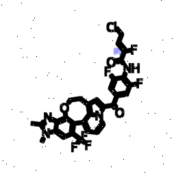 Cc1nc2c3c(c(C(F)(F)F)cc2n1C)-c1cccn2c(C(=O)c4cc(F)c(NC(=O)/C(F)=C/CCl)c(F)c4)cc(c12)CCO3